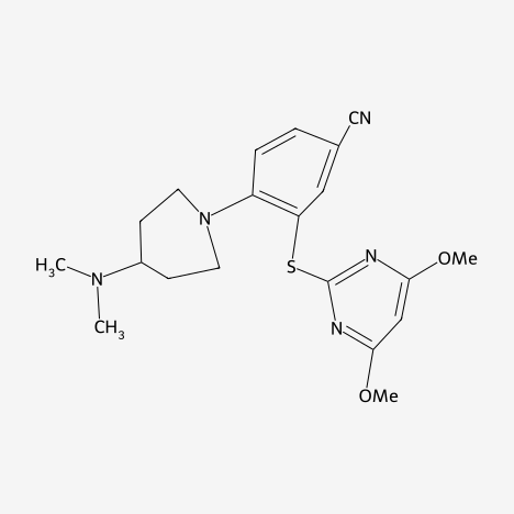 COc1cc(OC)nc(Sc2cc(C#N)ccc2N2CCC(N(C)C)CC2)n1